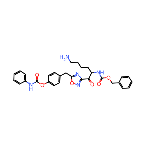 NCCCCC(NC(=O)OCc1ccccc1)C(=O)c1noc(Cc2ccc(OC(=O)Nc3ccccc3)cc2)n1